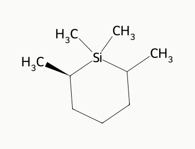 CC1CCC[C@@H](C)[Si]1(C)C